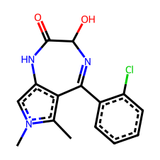 Cc1c2c(cn1C)NC(=O)C(O)N=C2c1ccccc1Cl